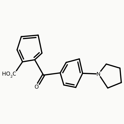 O=C(O)c1ccccc1C(=O)c1ccc(N2CCCC2)cc1